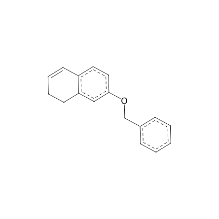 C1=Cc2ccc(OCc3ccccc3)cc2CC1